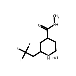 CNC(=O)C1CCNC(CC(F)(F)F)C1.Cl